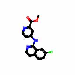 COC(=O)c1cc(Nc2nccc3ccc(Cl)cc23)ccn1